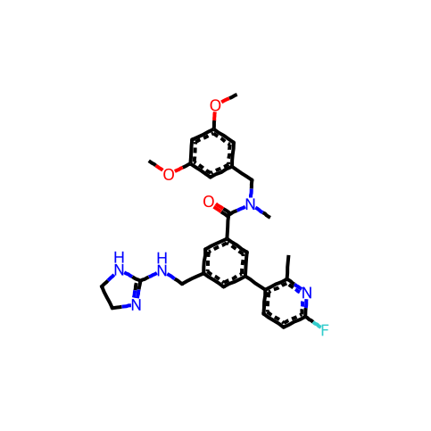 COc1cc(CN(C)C(=O)c2cc(CNC3=NCCN3)cc(-c3ccc(F)nc3C)c2)cc(OC)c1